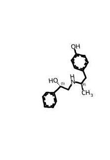 C[C@H](Cc1ccc(O)cc1)NC[C@@H](O)c1ccccc1